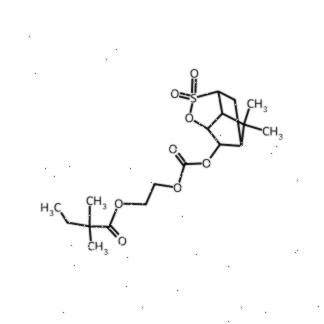 CCC(C)(C)C(=O)OCCOC(=O)OC1C2OS(=O)(=O)C3CC1C(C)(C)C23